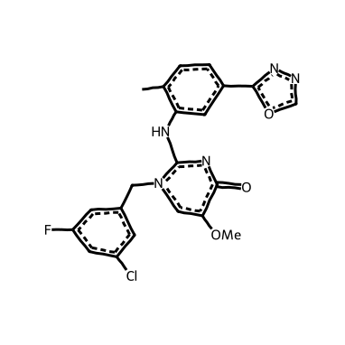 COc1cn(Cc2cc(F)cc(Cl)c2)c(Nc2cc(-c3nnco3)ccc2C)nc1=O